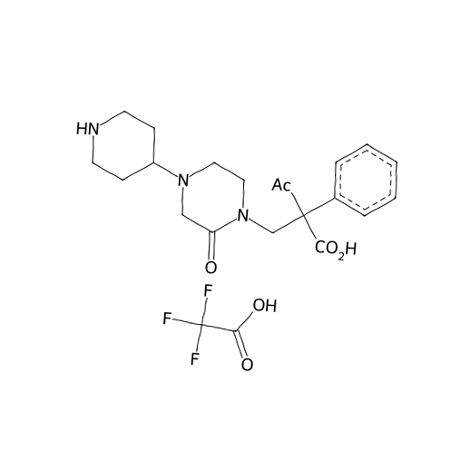 CC(=O)C(CN1CCN(C2CCNCC2)CC1=O)(C(=O)O)c1ccccc1.O=C(O)C(F)(F)F